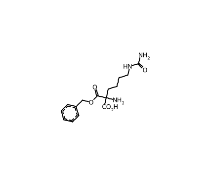 NC(=O)NCCCCC(N)(C(=O)O)C(=O)OCc1ccccc1